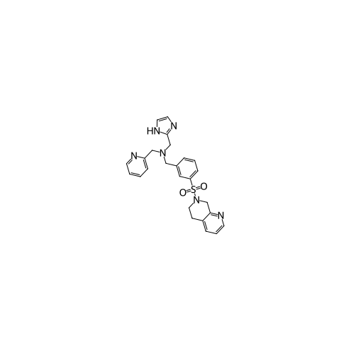 O=S(=O)(c1cccc(CN(Cc2ccccn2)Cc2ncc[nH]2)c1)N1CCc2cccnc2C1